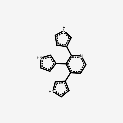 c1cc(-c2cc[nH]c2)c(-c2cc[nH]c2)c(-c2cc[nH]c2)n1